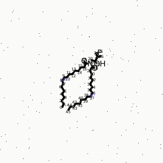 CCCCCCCC/C=C\CCCCCCCC(=O)N(CC(O)C1=CP=C1)C(=O)CCCCCCC/C=C\CCCCCCCC